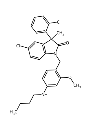 CCCCNc1ccc(CN2C(=O)C(C)(c3ccccc3Cl)c3cc(Cl)ccc32)c(OC)c1